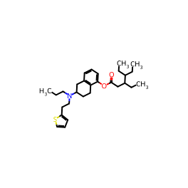 CCCN(CCc1cccs1)C1CCc2c(cccc2OC(=O)CC(CC)C(CC)CC)C1